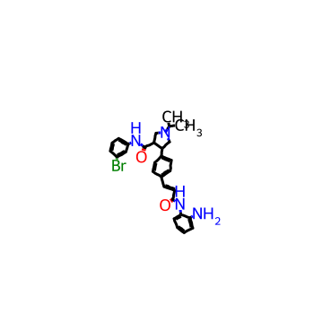 CC(C)N1CC(C(=O)Nc2cccc(Br)c2)C(c2ccc(/C=C/C(=O)Nc3ccccc3N)cc2)C1